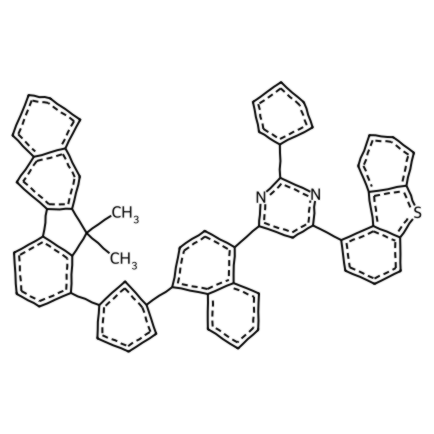 CC1(C)c2cc3ccccc3cc2-c2cccc(-c3cccc(-c4ccc(-c5cc(-c6cccc7sc8ccccc8c67)nc(-c6ccccc6)n5)c5ccccc45)c3)c21